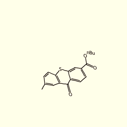 CCCCOC(=O)c1ccc2c(=O)c3cc(C)ccc3sc2c1